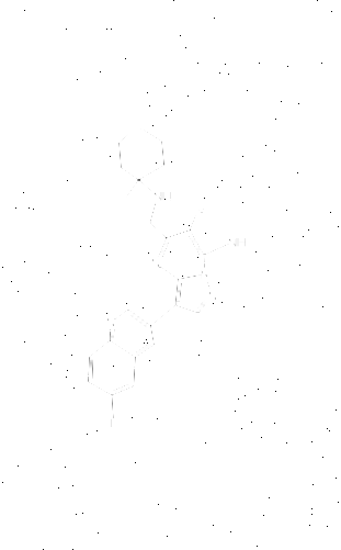 CC1(NCc2nc3c(-c4cnc5ccc(F)cc5c4)cnn3c(N)c2Br)CCOCC1